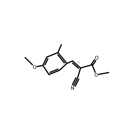 COC(=O)/C(C#N)=C/c1ccc(OC)cc1C